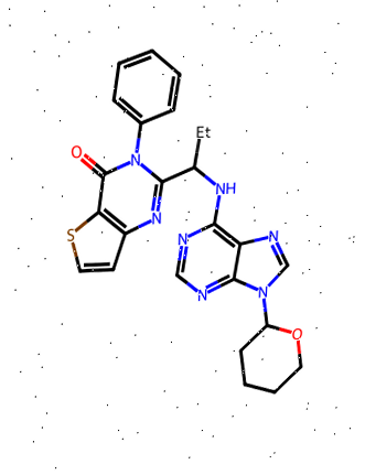 CCC(Nc1ncnc2c1ncn2C1CCCCO1)c1nc2ccsc2c(=O)n1-c1ccccc1